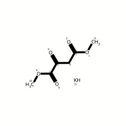 COC(=O)CC(=O)C(=O)OC.[KH]